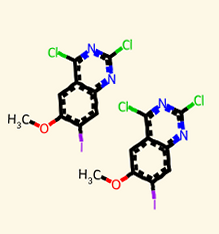 COc1cc2c(Cl)nc(Cl)nc2cc1I.COc1cc2c(Cl)nc(Cl)nc2cc1I